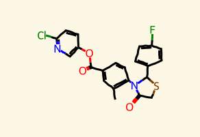 Cc1cc(C(=O)Oc2ccc(Cl)nc2)ccc1N1C(=O)CSC1c1ccc(F)cc1